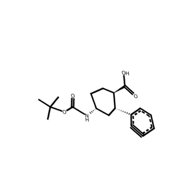 CC(C)(C)OC(=O)N[C@@H]1CC[C@@H](C(=O)O)[C@H](c2c#cccc2)C1